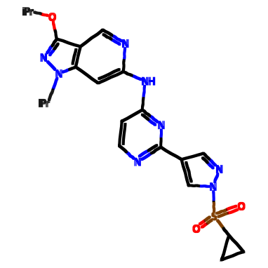 CC(C)Oc1nn(C(C)C)c2cc(Nc3ccnc(-c4cnn(S(=O)(=O)C5CC5)c4)n3)ncc12